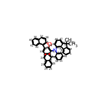 CC1(C)c2ccccc2-c2c(N(c3ccccc3-c3cccc4ccccc34)c3cccc4c3oc3ccc5ccccc5c34)cccc21